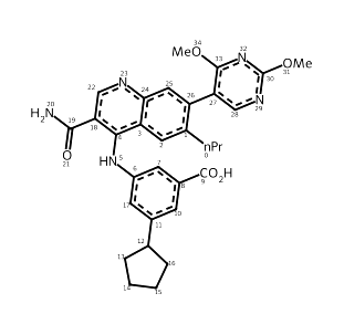 CCCc1cc2c(Nc3cc(C(=O)O)cc(C4CCCC4)c3)c(C(N)=O)cnc2cc1-c1cnc(OC)nc1OC